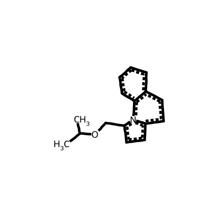 CC(C)OCc1ccc2ccc3ccccc3n12